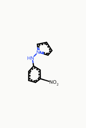 O=[N+]([O-])c1cccc(Nn2cccc2)c1